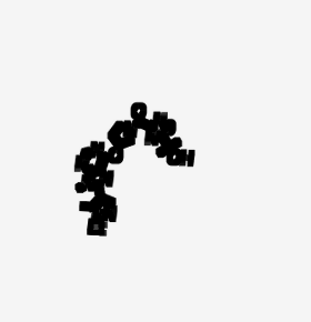 CCn1ncc(-c2nc3c(OC4CCN(C(=O)c5noc(C(C)(C)O)n5)C4)ncnc3n2C)c1C